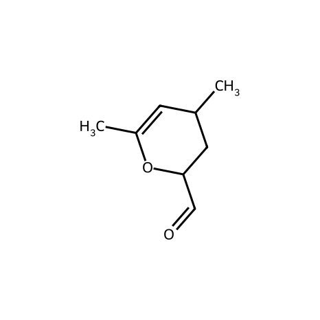 CC1=CC(C)CC(C=O)O1